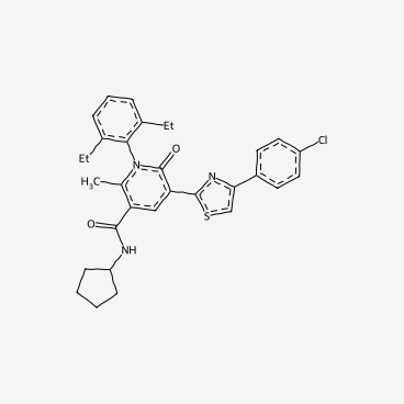 CCc1cccc(CC)c1-n1c(C)c(C(=O)NC2CCCC2)cc(-c2nc(-c3ccc(Cl)cc3)cs2)c1=O